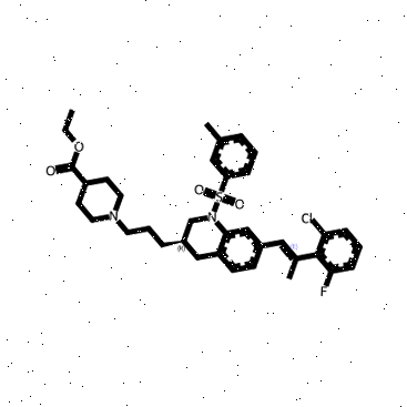 CCOC(=O)C1CCN(CCC[C@@H]2Cc3ccc(/C=C(\C)c4c(F)cccc4Cl)cc3N(S(=O)(=O)c3cccc(C)c3)C2)CC1